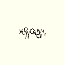 CC(C)(C)OC(=O)NC1CCCN(c2ccc[c]c2N)C1